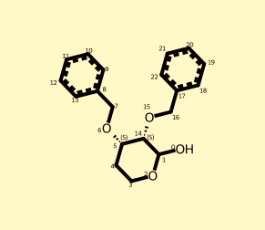 OC1OCC[C@H](OCc2ccccc2)[C@@H]1OCc1ccccc1